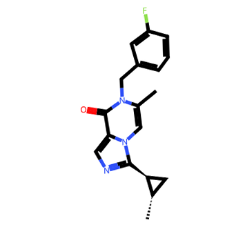 Cc1cn2c([C@H]3C[C@@H]3C)ncc2c(=O)n1Cc1cccc(F)c1